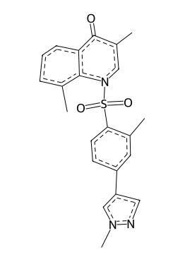 Cc1cc(-c2cnn(C)c2)ccc1S(=O)(=O)n1cc(C)c(=O)c2cccc(C)c21